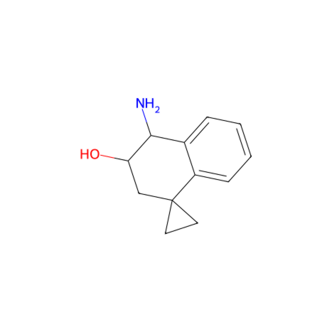 NC1c2ccccc2C2(CC2)CC1O